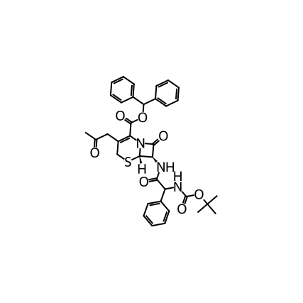 CC(=O)CC1=C(C(=O)OC(c2ccccc2)c2ccccc2)N2C(=O)[C@@H](NC(=O)C(NC(=O)OC(C)(C)C)c3ccccc3)[C@@H]2SC1